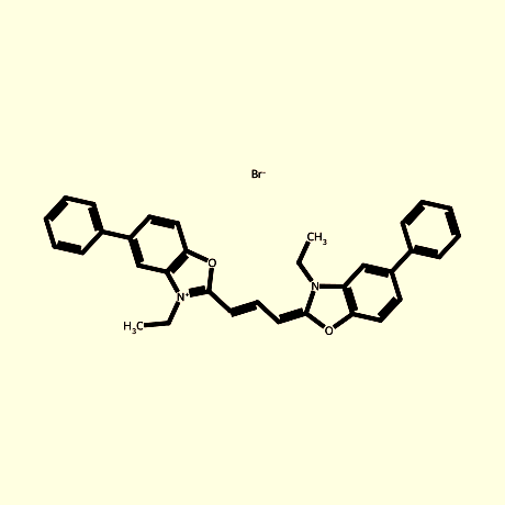 CCN1/C(=C\C=C\c2oc3ccc(-c4ccccc4)cc3[n+]2CC)Oc2ccc(-c3ccccc3)cc21.[Br-]